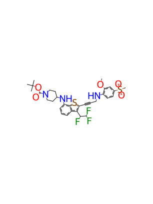 COc1cc(S(C)(=O)=O)ccc1NCC#Cc1sc2c(NC3CCN(C(=O)OC(C)(C)C)CC3)cccc2c1C(F)C(F)F